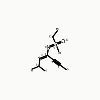 CC#C/C(=C\C(C)C)N=S(C)(=O)CC